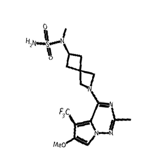 COc1cn2nc(C)nc(N3CC4(CC(N(C)S(N)(=O)=O)C4)C3)c2c1C(F)(F)F